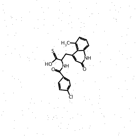 Cc1cccc2[nH]c(=O)cc(CC(NC(=O)c3ccc(Cl)cc3)C(O)=S)c12